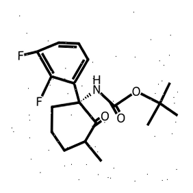 CC1CCC[C@@](NC(=O)OC(C)(C)C)(c2cccc(F)c2F)C1=O